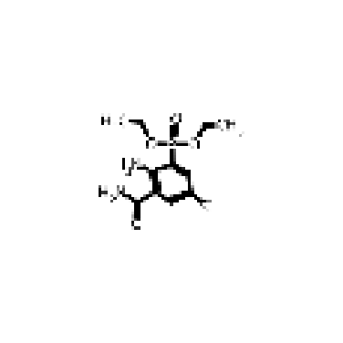 CCOP(=O)(OCC)c1cc(Cl)cc(C(N)=O)c1N